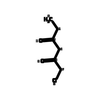 CCC(=O)CC(=O)CCl